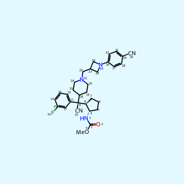 COC(=O)N[C@H]1CCC[C@@H]1[C@](C#N)(c1cccc(F)c1)C1CCN(CC2CN(c3ccc(C#N)cc3)C2)CC1